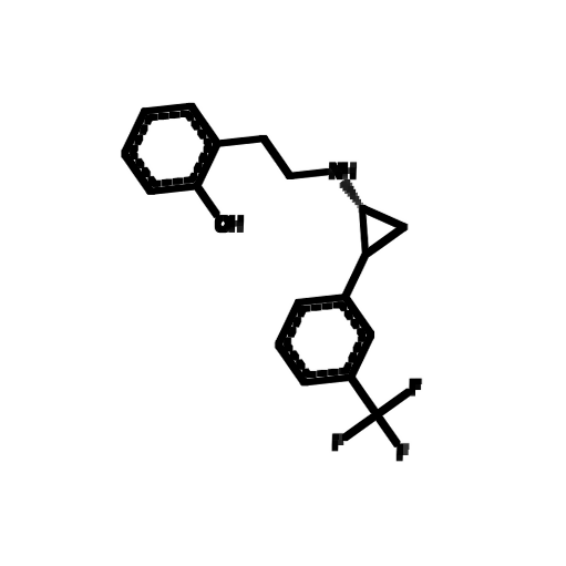 Oc1ccccc1CCN[C@@H]1CC1c1cccc(C(F)(F)F)c1